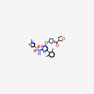 Cc1cccc(C)c1-c1cc(OC2CCN(C(=O)C3CCOC3)C2)nc(NS(=O)(=O)c2cnn(C)c2)n1